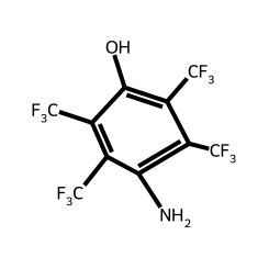 Nc1c(C(F)(F)F)c(C(F)(F)F)c(O)c(C(F)(F)F)c1C(F)(F)F